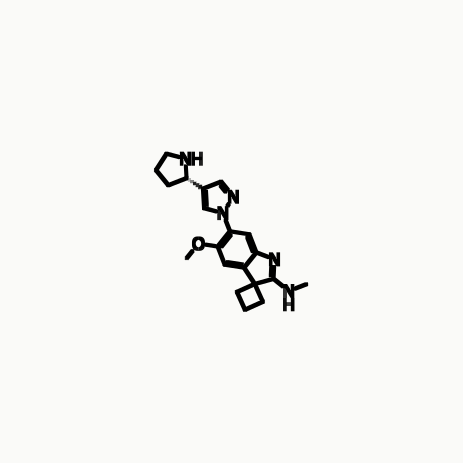 CNC1=Nc2cc(-n3cc([C@@H]4CCCN4)cn3)c(OC)cc2C12CCC2